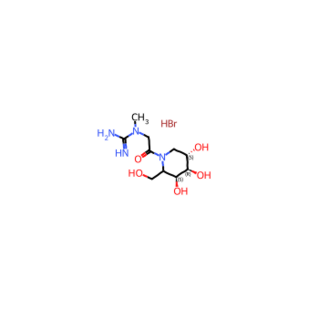 Br.CN(CC(=O)N1C[C@H](O)[C@@H](O)[C@@H](O)C1CO)C(=N)N